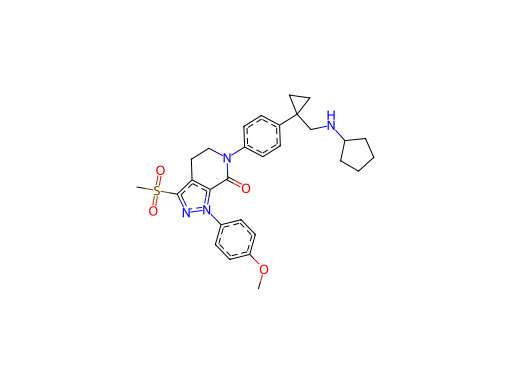 COc1ccc(-n2nc(S(C)(=O)=O)c3c2C(=O)N(c2ccc(C4(CNC5CCCC5)CC4)cc2)CC3)cc1